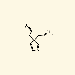 C=CCC1(CC=C)C=CN=C1